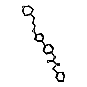 O=C(NCc1ccccc1)Oc1ccc(-c2ccc(OCCCN3CCOCC3)cc2)cc1